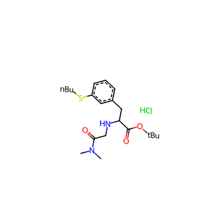 CCCCSc1cccc(CC(NCC(=O)N(C)C)C(=O)OC(C)(C)C)c1.Cl